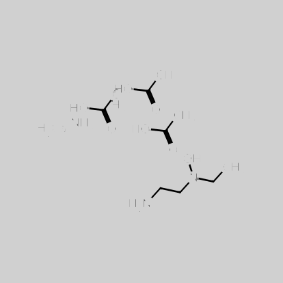 CC(=O)O.CC(=O)O.CC(=O)O.CCN(O)CCN.N.[CaH2]